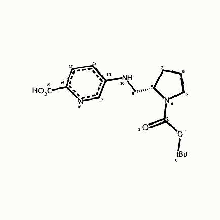 CC(C)(C)OC(=O)N1CCC[C@H]1CNc1ccc(C(=O)O)nc1